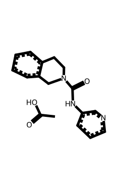 CC(=O)O.O=C(Nc1cccnc1)N1CCc2ccccc2C1